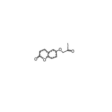 O=C(I)COc1ccc2oc(=O)ccc2c1